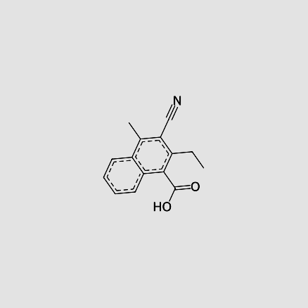 CCc1c(C#N)c(C)c2ccccc2c1C(=O)O